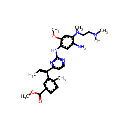 C/C=C(/c1ccnc(Nc2cc(N)c(N(C)CCN(C)C)cc2OC)n1)c1cc(C(=O)OC)ccc1C